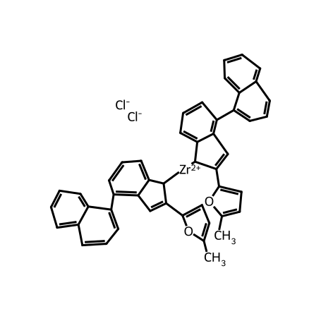 Cc1ccc(C2=Cc3c(-c4cccc5ccccc45)cccc3[CH]2[Zr+2][CH]2C(c3ccc(C)o3)=Cc3c(-c4cccc5ccccc45)cccc32)o1.[Cl-].[Cl-]